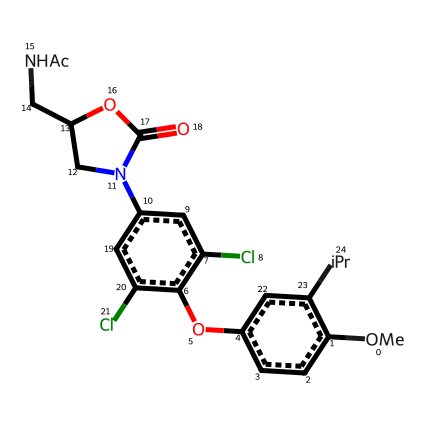 COc1ccc(Oc2c(Cl)cc(N3CC(CNC(C)=O)OC3=O)cc2Cl)cc1C(C)C